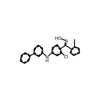 Cc1ccccc1C(=NO)c1ccc(Nc2cccc(-c3ccccc3)c2)cc1Cl